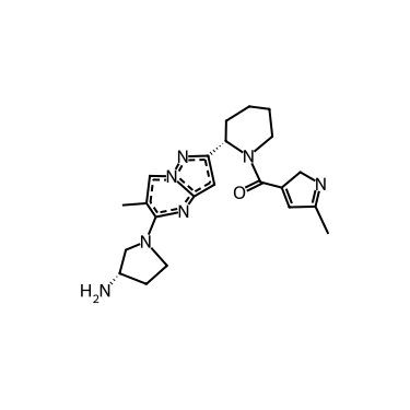 CC1=NCC(C(=O)N2CCCC[C@H]2c2cc3nc(N4CC[C@H](N)C4)c(C)cn3n2)=C1